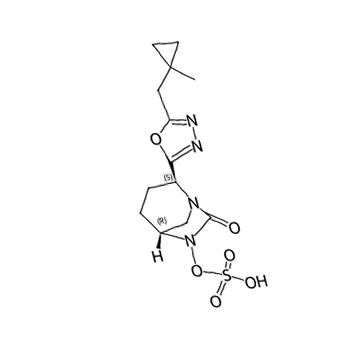 CC1(Cc2nnc([C@@H]3CC[C@@H]4CN3C(=O)N4OS(=O)(=O)O)o2)CC1